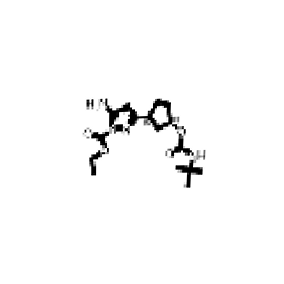 CCOC(=O)n1nc([C@H]2CC[C@@H](OC(=O)NC(C)(C)C)C2)cc1N